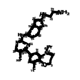 CC(C)N1CCOc2c(F)cc(-c3nc(Nc4ccc5sc(NCCN)cc5c4)ncc3F)cc21